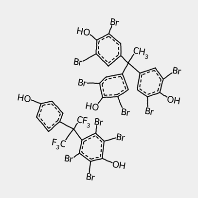 CC(c1cc(Br)c(O)c(Br)c1)(c1cc(Br)c(O)c(Br)c1)c1cc(Br)c(O)c(Br)c1.Oc1ccc(C(c2c(Br)c(Br)c(O)c(Br)c2Br)(C(F)(F)F)C(F)(F)F)cc1